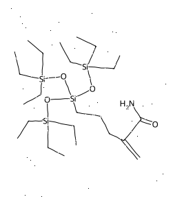 C=C(CCC[Si](O[Si](CC)(CC)CC)(O[Si](CC)(CC)CC)O[Si](CC)(CC)CC)C(N)=O